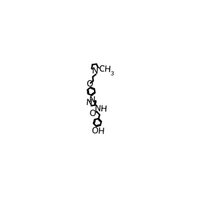 C[C@@H]1CCCN1CCCOc1ccc(-n2cc(NC(=O)Cc3ccc(O)cc3)cn2)cc1